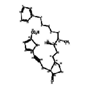 C[C@@H](CCCCCc1ccccc1)[C@H](O)CC[C@H]1CCC(=O)N1CC#Cc1ccc(C(=O)O)s1